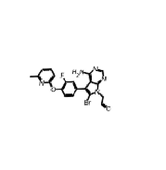 Cc1cccc(Oc2ccc(-c3c(Br)n(CC=O)c4ncnc(N)c34)cc2F)n1